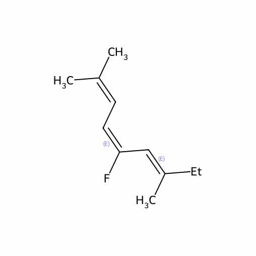 CC/C(C)=C/C(F)=C\C=C(C)C